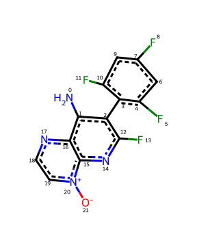 Nc1c(-c2c(F)cc(F)cc2F)c(F)nc2c1ncc[n+]2[O-]